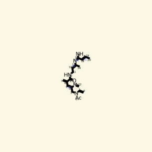 C=CN(C/C(=C/C(=C)C(=O)NC/C=C(C)/N=C(N)\C=C\C)N=C)C(C)=O